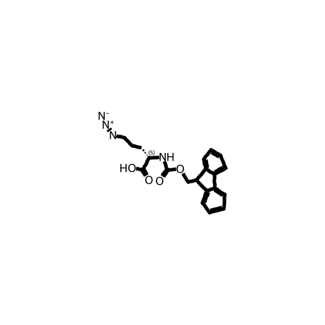 [N-]=[N+]=NCCC[C@H](NC(=O)OCC1c2ccccc2-c2ccccc21)C(=O)O